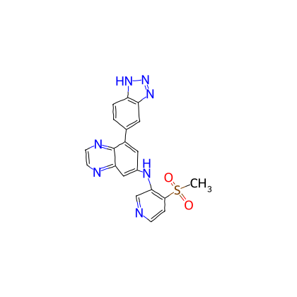 CS(=O)(=O)c1ccncc1Nc1cc(-c2ccc3[nH]nnc3c2)c2nccnc2c1